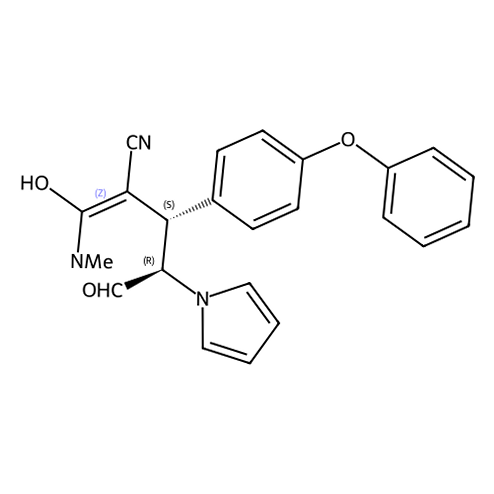 CN/C(O)=C(/C#N)[C@H](c1ccc(Oc2ccccc2)cc1)[C@H](C=O)n1cccc1